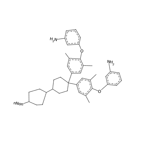 CCCCCCCCCC1CCC(C2CCC(c3cc(C)c(Oc4cccc(N)c4)c(C)c3)(c3cc(C)c(Oc4cccc(N)c4)c(C)c3)CC2)CC1